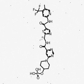 Cc1cnc(NC(=O)c2cnc([C@@H](C)NC(=O)c3cc(N4CCC(OP(=O)(O)O)CC4)ncn3)s2)cc1C(F)(F)F